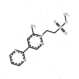 COS(=O)(=O)CC[n+]1ncc(-c2ncccn2)cc1C